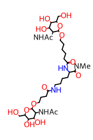 CNC(=O)C(CCCCNC(=O)CCCOC1OC(CO)C(O)C(O)C1NC(C)=O)NC(=O)CCCCCOC1OC(CO)C(O)C(O)C1NC(C)=O